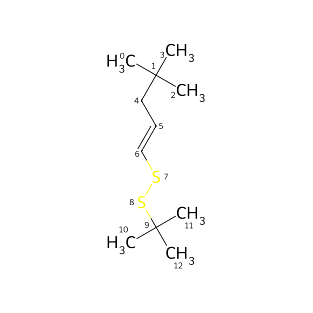 CC(C)(C)C/C=C/SSC(C)(C)C